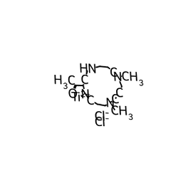 CC(=O)C1CCNCCCN(C)CCCN(C)CCC[N]1[Ti+2].[Cl-].[Cl-]